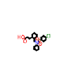 O=C(O)/C=C/c1ccccc1CN(c1ccccc1)S(=O)(=O)c1ccc(Cl)cc1